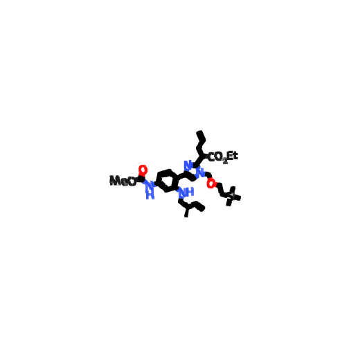 C=CCC(C(=O)OCC)c1nc(-c2ccc(NC(=O)OC)cc2NC[C@H](C)C=C)cn1COCC[Si](C)(C)C